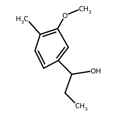 CCC(O)c1ccc(C)c(OC)c1